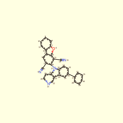 N#Cc1cc2c(oc3ccccc32)c(C#N)c1-n1c2ccncc2c2cc(-c3ccccc3)ccc21